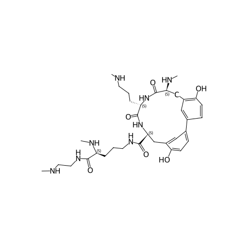 CNCCC[C@@H]1NC(=O)[C@@H](NC)Cc2cc(ccc2O)-c2ccc(O)c(c2)C[C@@H](C(=O)NCCC[C@H](NC)C(=O)NCCNC)NC1=O